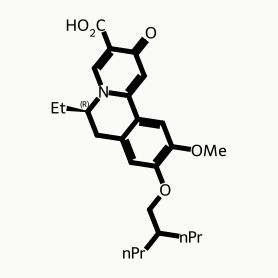 CCCC(CCC)COc1cc2c(cc1OC)-c1cc(=O)c(C(=O)O)cn1[C@H](CC)C2